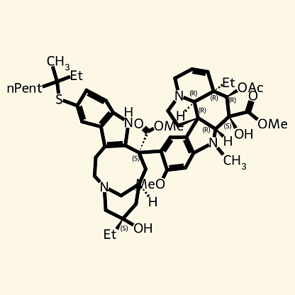 CCCCCC(C)(CC)Sc1ccc2[nH]c3c(c2c1)CCN1C[C@H](C[C@@](O)(CC)C1)C[C@]3(C(=O)OC)c1cc2c(cc1OC)N(C)[C@H]1[C@@](O)(C(=O)OC)[C@H](OC(C)=O)[C@]3(CC)C=CCN4CC[C@]21[C@@H]43